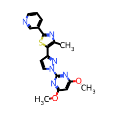 COc1cc(OC)nc(-n2ccc(-c3sc(-c4cccnc4)nc3C)n2)n1